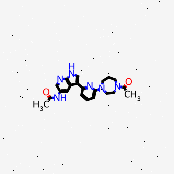 CC(=O)Nc1cnc2[nH]cc(-c3cccc(N4CCCN(C(C)=O)CC4)n3)c2c1